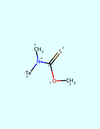 COC(=S)N(C)[Te]